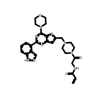 C=CC(=O)NCC(=O)N1CCN(Cc2cc3nc(-c4cccc5[nH]ncc45)nc(N4CCOCC4)c3s2)CC1